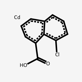 O=C(O)c1cccc2cccc(Cl)c12.[Cd]